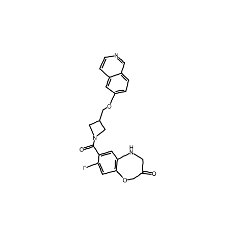 O=C1CNc2cc(C(=O)N3CC(COc4ccc5cnccc5c4)C3)c(F)cc2OC1